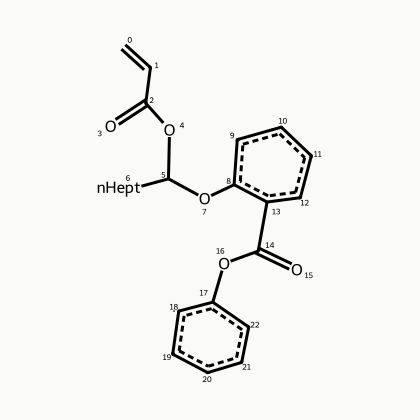 C=CC(=O)OC(CCCCCCC)Oc1ccccc1C(=O)Oc1[c]cccc1